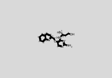 CCCC[C@@H](CCO)Nc1nc(N)ncc1OCc1ccc2ccccc2n1